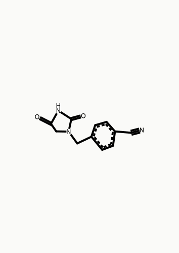 N#Cc1ccc(CN2CC(=O)NC2=O)cc1